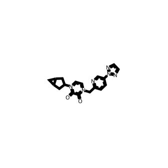 O=c1c(=O)n(C2CC3CC3C2)ccn1Cc1ccc(-n2nccn2)cn1